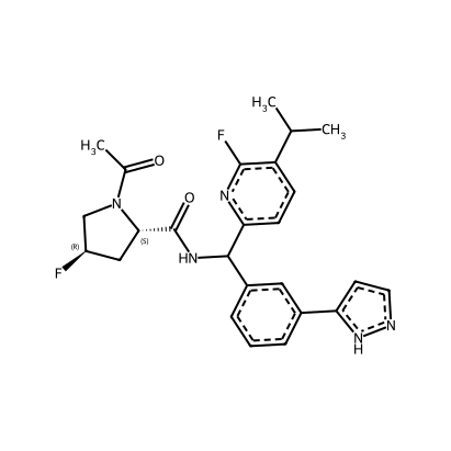 CC(=O)N1C[C@H](F)C[C@H]1C(=O)NC(c1cccc(-c2ccn[nH]2)c1)c1ccc(C(C)C)c(F)n1